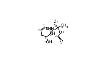 CC(C)(C)OC=O.O[C@H]1CC=CNC1